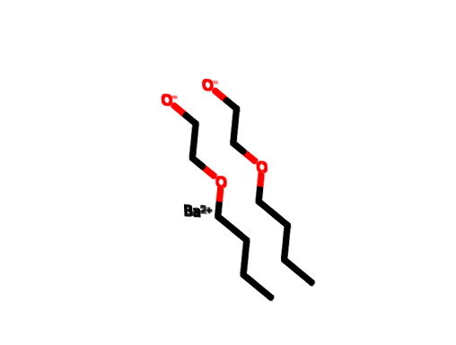 CCCCOCC[O-].CCCCOCC[O-].[Ba+2]